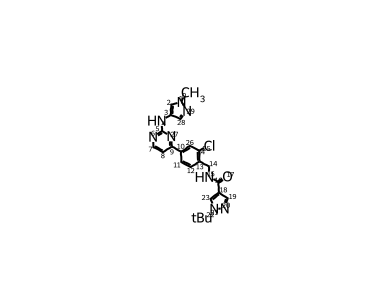 Cn1cc(Nc2nccc(-c3ccc(CNC(=O)c4cnn(C(C)(C)C)c4)c(Cl)c3)n2)cn1